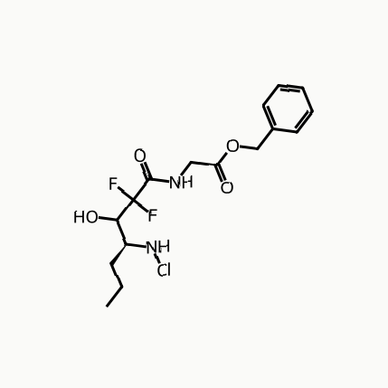 CCC[C@H](NCl)C(O)C(F)(F)C(=O)NCC(=O)OCc1ccccc1